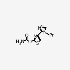 CC(C)n1cnnc1-c1csc(OC(N)=O)n1